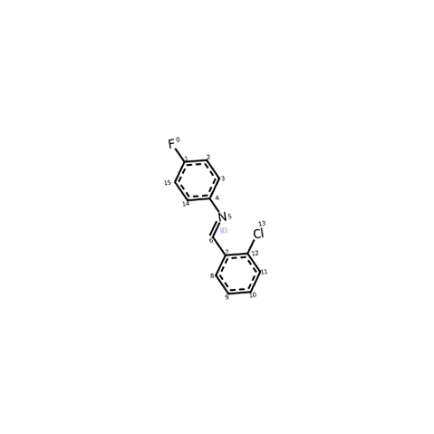 Fc1ccc(/N=C/c2ccccc2Cl)cc1